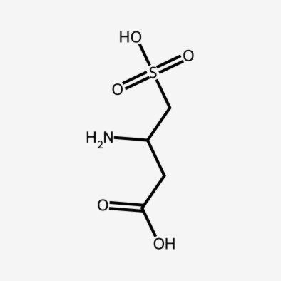 NC(CC(=O)O)CS(=O)(=O)O